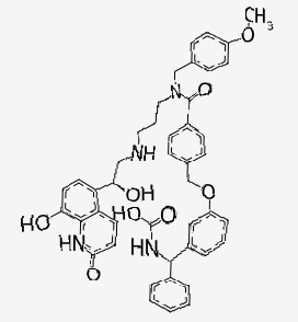 COc1ccc(CN(CCCNC[C@@H](O)c2ccc(O)c3[nH]c(=O)ccc23)C(=O)c2ccc(COc3cccc(C(NC(=O)O)c4ccccc4)c3)cc2)cc1